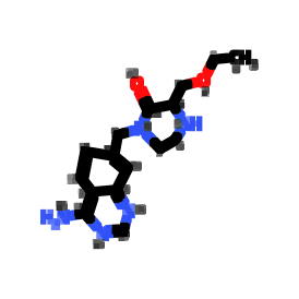 CCOCC1NCCN(Cc2ccc3c(N)ncnc3c2)C1=O